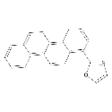 C1=CC(c2ncco2)=c2ccc3c(c2C1)CC=c1ccccc1=3